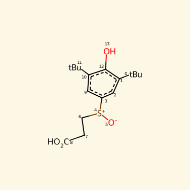 CC(C)(C)c1cc([S+]([O-])CCC(=O)O)cc(C(C)(C)C)c1O